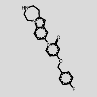 O=c1cc(OCc2ccc(F)cc2)ccn1-c1ccc2c(c1)cc1n2CCNCC1